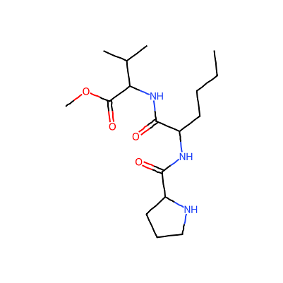 CCCCC(NC(=O)C1CCCN1)C(=O)NC(C(=O)OC)C(C)C